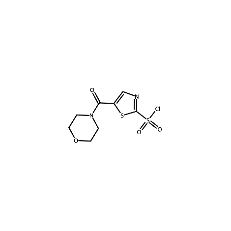 O=C(c1cnc(S(=O)(=O)Cl)s1)N1CCOCC1